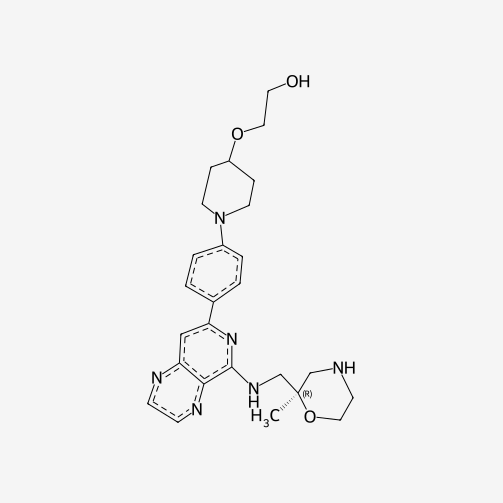 C[C@]1(CNc2nc(-c3ccc(N4CCC(OCCO)CC4)cc3)cc3nccnc23)CNCCO1